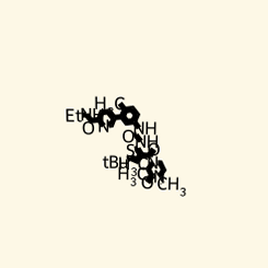 CCNC(=O)C1CC=C(c2cc(NC(=O)Nc3sc(C(C)(C)C)cc3C(=O)N3CCN(C)C(=O)C3(C)C)ccc2C)C=N1